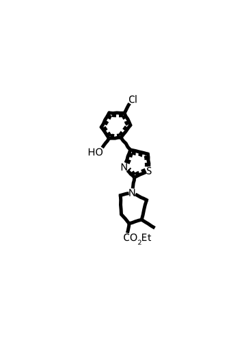 CCOC(=O)C1CCN(c2nc(-c3cc(Cl)ccc3O)cs2)CC1C